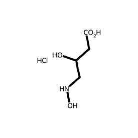 Cl.O=C(O)CC(O)CNO